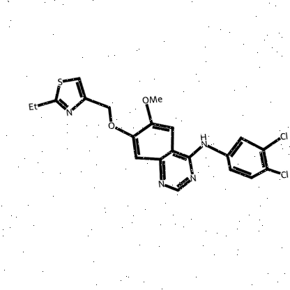 CCc1nc(COc2cc3ncnc(Nc4ccc(Cl)c(Cl)c4)c3cc2OC)cs1